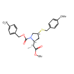 COc1ccc(CS[C@H]2C[C@@H]([C@@H](C)C(=O)OC(C)(C)C)N(C(=O)OCc3ccc([N+](=O)[O-])cc3)C2)cc1